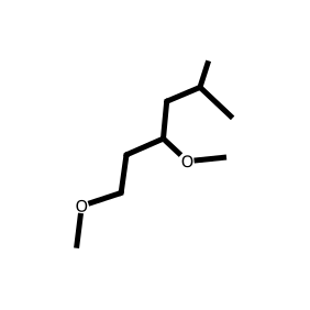 COCCC(CC(C)C)OC